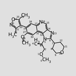 COC[C@@H](C)n1c(C2CCOCC2)nc2cnc3cc(-c4c(C)noc4C)c(OC)cc3c21